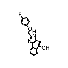 Oc1cc2[nH]c(COc3ccc(F)cc3)nc2c2ccccc12